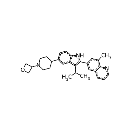 Cc1cc(-c2[nH]c3ccc(C4CCN(C5COC5)CC4)cc3c2C(C)C)cc2cccnc12